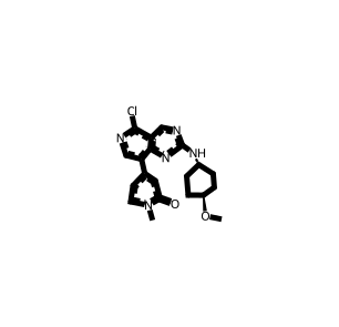 CO[C@H]1CC[C@H](Nc2ncc3c(Cl)ncc(-c4ccn(C)c(=O)c4)c3n2)CC1